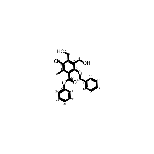 Cc1c(Cl)c(CO)c(CO)c(OCc2ccccc2)c1C(=O)Oc1ccccc1